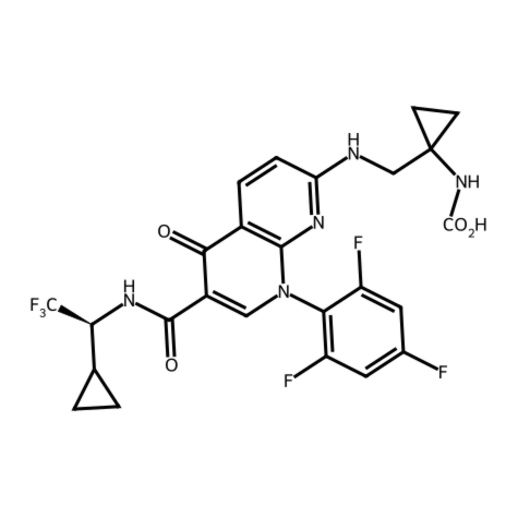 O=C(O)NC1(CNc2ccc3c(=O)c(C(=O)N[C@@H](C4CC4)C(F)(F)F)cn(-c4c(F)cc(F)cc4F)c3n2)CC1